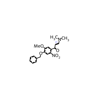 COc1cc(C(=O)/C=C/N(C)C)c([N+](=O)[O-])cc1OCc1ccccc1